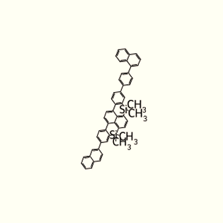 C[Si]1(C)c2cc(-c3ccc(-c4cccc5ccccc45)cc3)ccc2-c2ccc3c4c(ccc1c24)[Si](C)(C)c1cc(-c2ccc4ccccc4c2)ccc1-3